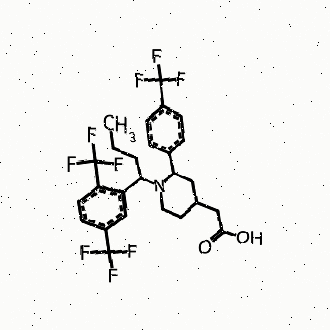 CCCC(c1cc(C(F)(F)F)ccc1C(F)(F)F)N1CCC(CC(=O)O)CC1c1ccc(C(F)(F)F)cc1